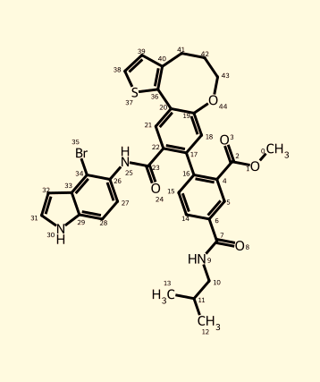 COC(=O)c1cc(C(=O)NCC(C)C)ccc1-c1cc2c(cc1C(=O)Nc1ccc3[nH]ccc3c1Br)-c1sccc1CCCO2